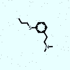 [CH2]CCSc1cccc(CCN(C)C)c1